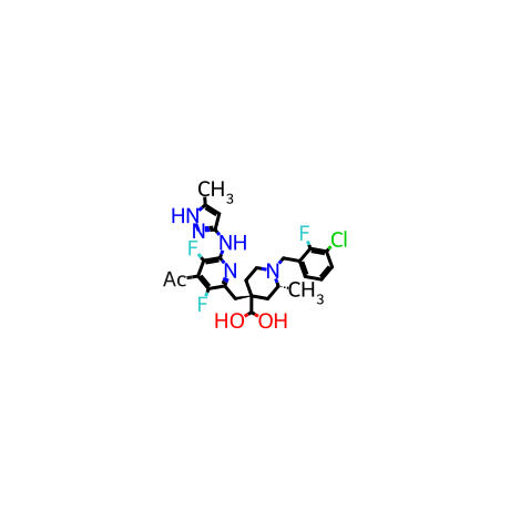 CC(=O)c1c(F)c(C[C@@]2(C(O)O)CCN(Cc3cccc(Cl)c3F)[C@H](C)C2)nc(Nc2cc(C)[nH]n2)c1F